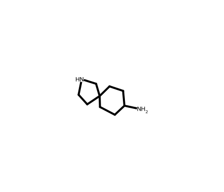 NC1CCC2(CCNC2)CC1